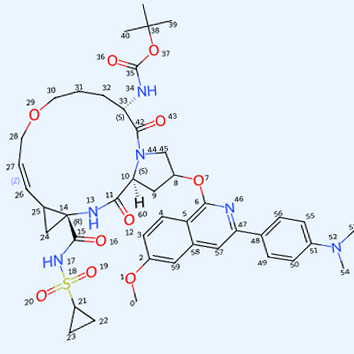 COc1ccc2c(OC3C[C@H]4C(=O)N[C@]5(C(=O)NS(=O)(=O)C6CC6)CC5/C=C\COCCC[C@H](NC(=O)OC(C)(C)C)C(=O)N4C3)nc(-c3ccc(N(C)C)cc3)cc2c1